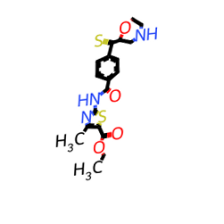 CCOC(=O)c1sc(NC(=O)c2ccc(C(=S)C3CNCCO3)cc2)nc1C